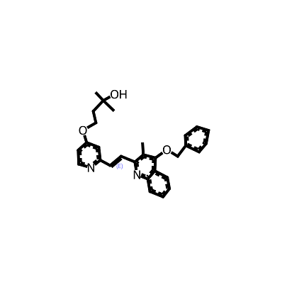 Cc1c(/C=C/c2cc(OCCC(C)(C)O)ccn2)nc2ccccc2c1OCc1ccccc1